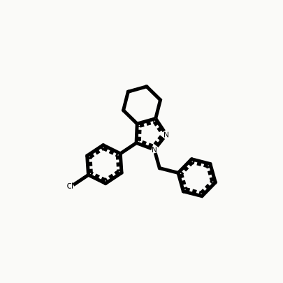 Clc1ccc(-c2c3c(nn2Cc2ccccc2)CCCC3)cc1